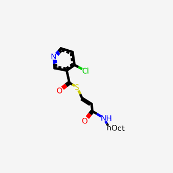 CCCCCCCCNC(=O)C=CSC(=O)c1cnccc1Cl